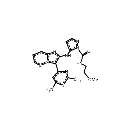 COCCNC(=O)n1nccc1Nc1nc2cccnn2c1-c1cc(N)nc(C)n1